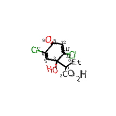 CCC(C(=O)O)C1(O)C=C(Cl)C(=O)C=C1Cl